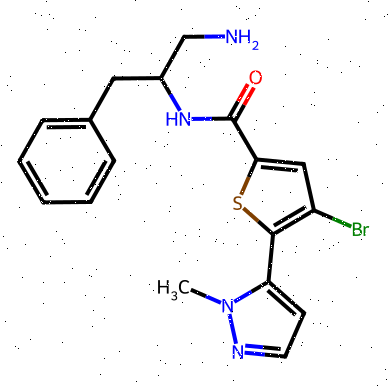 Cn1nccc1-c1sc(C(=O)NC(CN)Cc2ccccc2)cc1Br